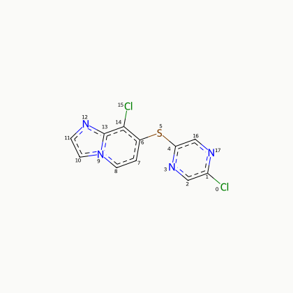 Clc1cnc(Sc2ccn3ccnc3c2Cl)cn1